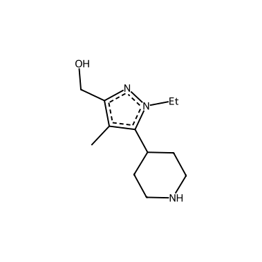 CCn1nc(CO)c(C)c1C1CCNCC1